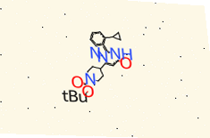 CC(C)(C)OC(=O)N1CCC(c2cc(=O)[nH]c3c4c(C5CC5)cccc4nn23)CC1